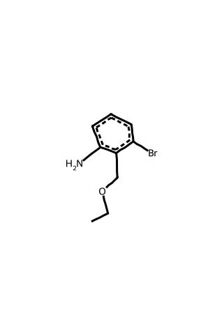 CCOCc1c(N)cccc1Br